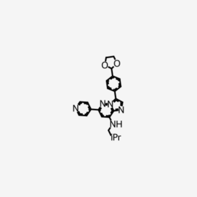 CC(C)CNc1cc(-c2ccncc2)nn2c(-c3ccc(C4OCCO4)cc3)cnc12